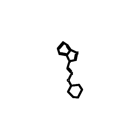 C(=NOC1CCCCC1)n1cnc2ccccc21